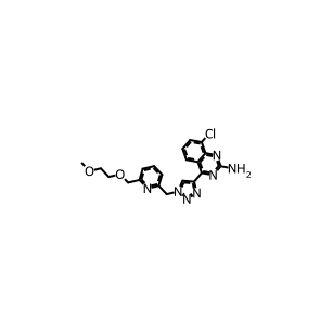 COCCOCc1cccc(Cn2cc(-c3nc(N)nc4c(Cl)cccc34)nn2)n1